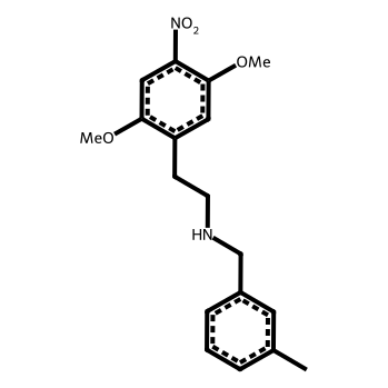 COc1cc([N+](=O)[O-])c(OC)cc1CCNCc1cccc(C)c1